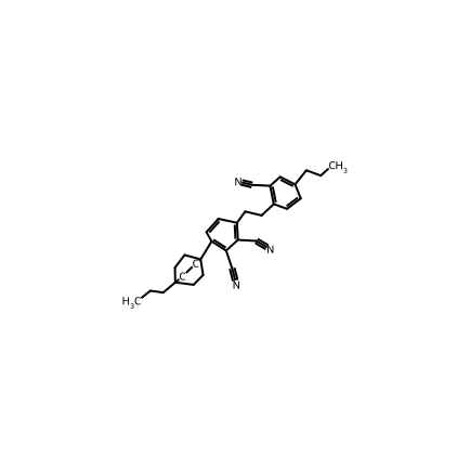 CCCc1ccc(CCc2ccc(C34CCC(CCC)(CC3)CC4)c(C#N)c2C#N)c(C#N)c1